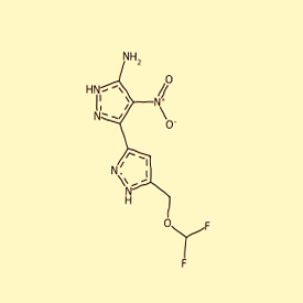 Nc1[nH]nc(-c2cc(COC(F)F)[nH]n2)c1[N+](=O)[O-]